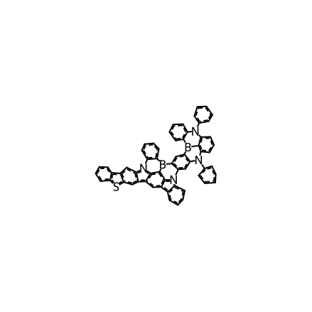 c1ccc(N2c3ccccc3B3c4cc5c(cc4N(c4ccccc4)c4cccc2c43)-n2c3ccccc3c3cc4c6cc7sc8ccccc8c7cc6n6c4c(c32)B5c2ccccc2-6)cc1